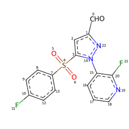 O=Cc1cc(S(=O)(=O)c2ccc(F)cc2)n(-c2cccnc2F)n1